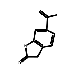 C=C(C)c1ccc2c(c1)NC(=O)C2